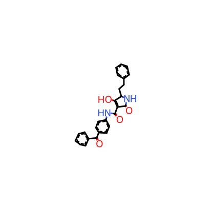 O=C(Nc1ccc(C(=O)c2ccccc2)cc1)C1=C(O)C(CCc2ccccc2)NC1=O